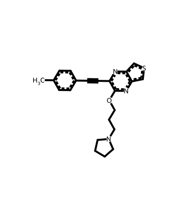 Cc1ccc(C#Cc2nc3cscc3nc2OCCCN2CCCC2)cc1